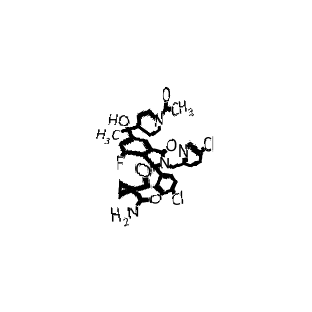 CC(=O)N1CCC(C(C)(O)c2cc(F)c3c(c2)C(=O)N(Cc2ccc(Cl)cn2)[C@@]3(OCC2(C(N)=O)CC2)c2ccc(Cl)cc2)CC1